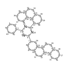 c1ccc(-c2nc(-c3ccc4ccc5c6ccccc6ccc5c4c3)nc(-c3cccc4ccc5ccccc5c34)n2)cc1